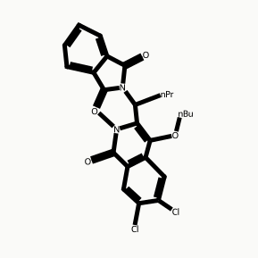 CCCCOc1c(C(CCC)N2C(=O)c3ccccc3C2=O)n(C)c(=O)c2cc(Cl)c(Cl)cc12